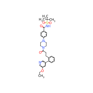 CCOc1cncc(-c2ccccc2CCC(=O)N2CCN(c3ccc(C(=O)NS(=O)(=O)C(C)(C)C)cc3)CC2)c1